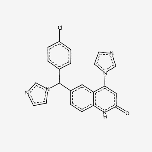 O=c1cc(-n2ccnc2)c2cc(C(c3ccc(Cl)cc3)n3ccnc3)ccc2[nH]1